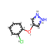 Clc1ccccc1Oc1cn[nH]c1